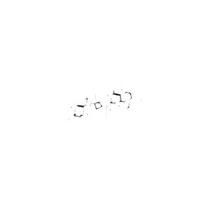 CC[C@H]1C(=O)Nc2c(C)nc(N[C@H]3C[C@H](N(C)c4cnc(C(F)(F)F)cn4)C3)nc2N1C